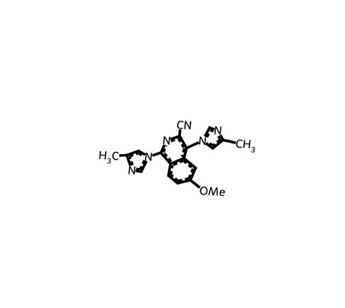 COc1ccc2c(-n3cnc(C)c3)nc(C#N)c(-n3cnc(C)c3)c2c1